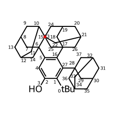 CC(C)(C)c1c(O)cc(C23CC4CC(CC(C4)C2)C3)c(C23CC4CC(CC(C4)C2)C3)c1C12CC3CC(CC(C3)C1)C2